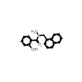 CN(Cc1cccc2ccccc12)C(=O)c1ccccc1C=O